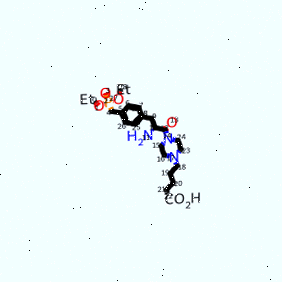 CCOP(=O)(Cc1ccc(C[C@H](N)C(=O)N2CCN(CCCCC(=O)O)CC2)cc1)OCC